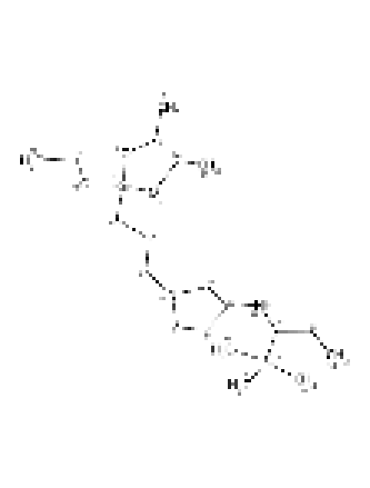 CCO[Si](CCCN1CCC(NC(CC)[Si](C)(C)C)C1)(OCC)OCC